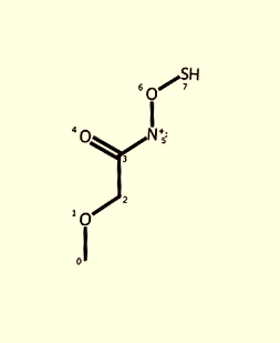 COCC(=O)[N+]OS